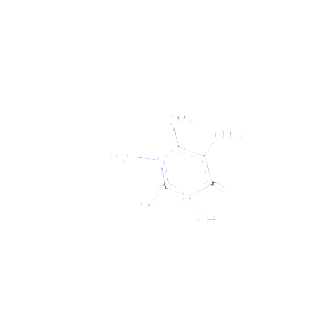 CSc1c(C=O)c(=O)n(C)c(=O)n1C